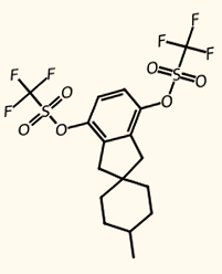 CC1CCC2(CC1)Cc1c(OS(=O)(=O)C(F)(F)F)ccc(OS(=O)(=O)C(F)(F)F)c1C2